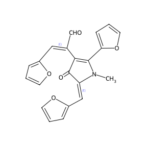 CN1C(c2ccco2)=C(/C(C=O)=C\c2ccco2)C(=O)/C1=C\c1ccco1